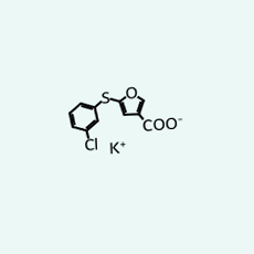 O=C([O-])c1coc(Sc2cccc(Cl)c2)c1.[K+]